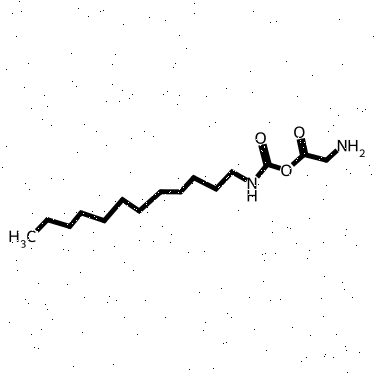 CCCCCCCCCCCCNC(=O)OC(=O)CN